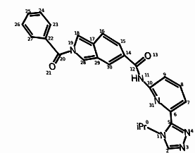 CC(C)n1cnnc1-c1cccc(NC(=O)c2ccc3cn(C(=O)c4ccccc4)cc3c2)n1